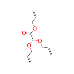 C=CCOC(=O)C(OCC=C)OCC=C